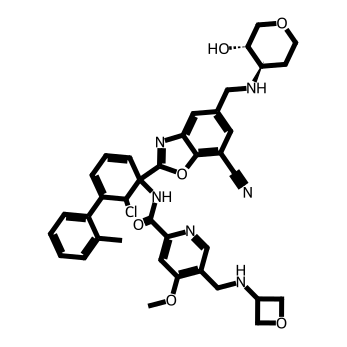 COc1cc(C(=O)NC2(c3nc4cc(CN[C@@H]5CCOC[C@H]5O)cc(C#N)c4o3)C=CC=C(c3ccccc3C)C2Cl)ncc1CNC1COC1